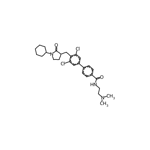 CN(C)CCNC(=O)c1ccc(-c2cc(Cl)c(CC3CCN(C4CCCCC4)C3=O)c(Cl)c2)cc1